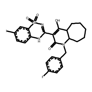 O=C1C(C2=NS(=O)(=O)c3cc(I)ccc3N2)=C(O)C2CCCCCC2N1Cc1ccc(F)cc1